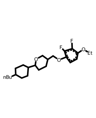 CCCCC1CCC(C2CCC(COc3ccc(OCC)c(F)c3F)CO2)CC1